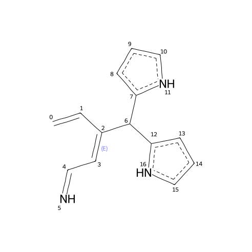 C=C/C(=C\C=N)C(c1ccc[nH]1)c1ccc[nH]1